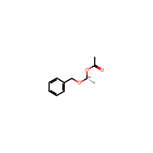 CC(=O)O[C@H](C)OCc1ccccc1